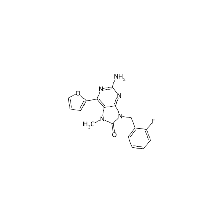 Cn1c(=O)n(Cc2ccccc2F)c2nc(N)nc(-c3ccco3)c21